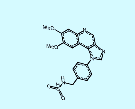 COc1cc2ncc3ncn(-c4ccc(CN[SH](=O)=O)cc4)c3c2cc1OC